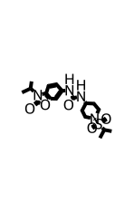 CC(C)n1c(=O)oc2cc(NC(=O)NC3CCN(S(=O)(=O)C(C)C)CC3)ccc21